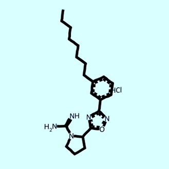 CCCCCCCCc1cccc(-c2noc(C3CCCN3C(=N)N)n2)c1.Cl